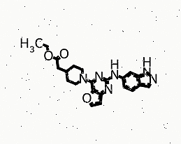 CCOC(=O)CC1CCN(c2nc(Nc3ccc4cn[nH]c4c3)nc3ccoc23)CC1